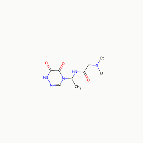 CCN(CC)CC(=O)NC(C)n1[c]n[nH]c(=O)c1=O